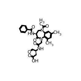 CC(=O)N1C[C@H](NC(=O)c2ccccc2)C(=O)N(CC(=O)N[C@H](C=O)CC(=O)O)c2c(C)cc(C)cc21